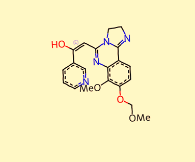 COCOc1ccc2c(c1OC)N=C(/C=C(/O)c1cccnc1)N1CCN=C21